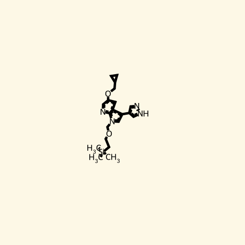 C[Si](C)(C)CCOCn1cc(-c2cn[nH]c2)c2cc(OCC3CC3)cnc21